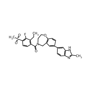 CCc1c(C(=O)N2CCOc3ccc(-c4ccc5nc(C)[nH]c5c4)cc3C2)ccc(S(C)(=O)=O)c1F